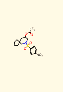 O=C(OC1CN(S(=O)(=O)c2ccc([N+](=O)[O-])cc2)CC2(CCCC2)C1)C(F)(F)F